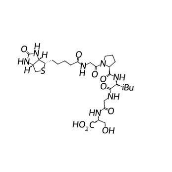 CC[C@H](C)[C@H](NC(=O)[C@@H]1CCCN1C(=O)CNC(=O)CCCC[C@@H]1SC[C@@H]2NC(=O)N[C@@H]21)C(=O)NCC(=O)N[C@@H](CO)C(=O)O